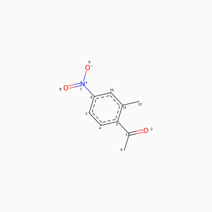 CC(=O)c1ccc([N+](=O)[O-])cc1C